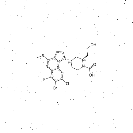 CSc1nc2c(F)c(Br)c(Cl)cc2c2c1ccn2[C@H]1CCN(C(=O)O)[C@H](CCO)C1